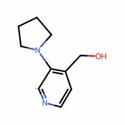 OCc1ccn[c]c1N1CCCC1